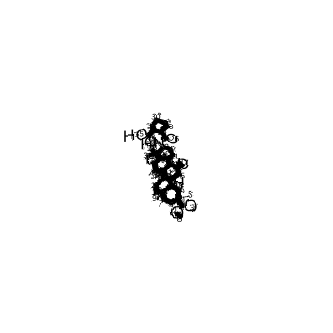 COC(=O)[C@@]1(C)CC[C@]2(C)CC[C@]3(C)C(=CC(=O)[C@@H]4[C@@]5(C)CCC(NC(=O)c6ccccc6C(=O)O)C(C)(C)[C@@H]5CC[C@]43C)[C@@H]2C1